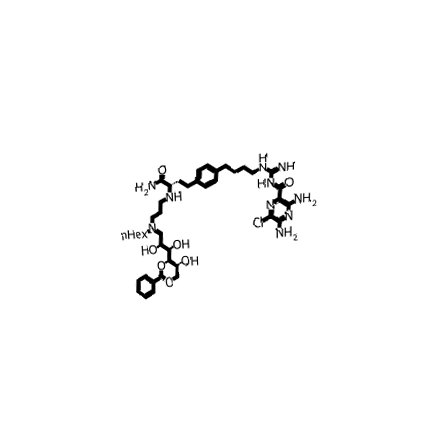 CCCCCCN(CCCN[C@@H](CCc1ccc(CCCCNC(=N)NC(=O)c2nc(Cl)c(N)nc2N)cc1)C(N)=O)C[C@H](O)[C@@H](O)[C@@H]1OC(c2ccccc2)OC[C@H]1O